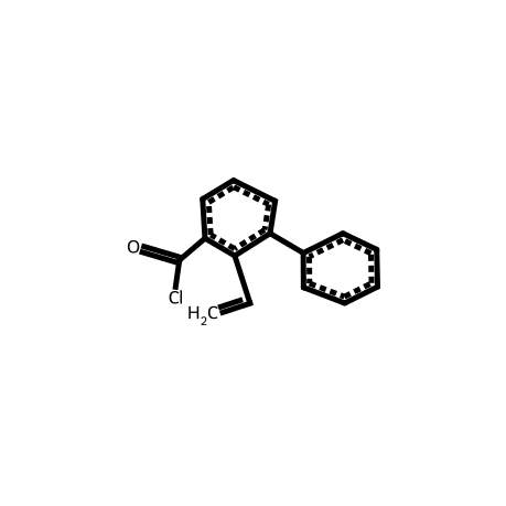 C=Cc1c(C(=O)Cl)cccc1-c1ccccc1